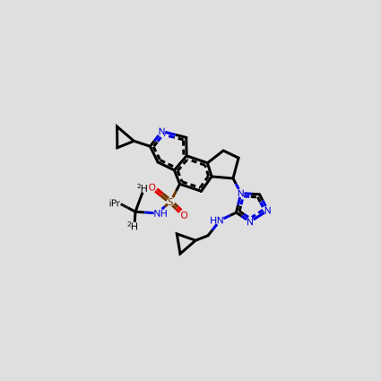 [2H]C([2H])(NS(=O)(=O)c1cc2c(c3cnc(C4CC4)cc13)CCC2n1cnnc1NCC1CC1)C(C)C